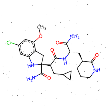 COc1cc(Cl)cc2c1C[C@@](C(N)=O)(C(CC1CC1)C(=O)N[C@@H](C[C@@H]1CCCNC1=O)C(N)=O)N2